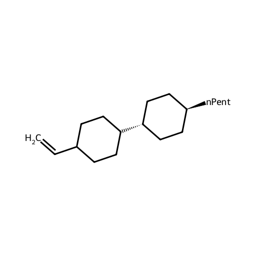 C=CC1CCC([C@H]2CC[C@H](CCCCC)CC2)CC1